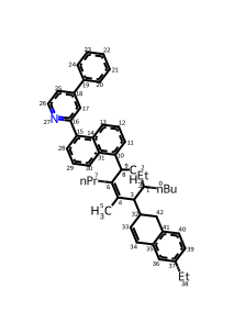 CCCCC(CC)C(/C(C)=C(/CCC)C(C)c1cccc2c(-c3cc(-c4ccccc4)ccn3)cccc12)C1C=Cc2cc(CC)ccc2C1